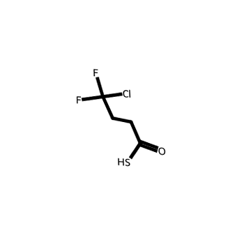 O=C(S)CCC(F)(F)Cl